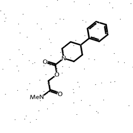 CNC(=O)COC(=O)N1CCC(c2ccccc2)CC1